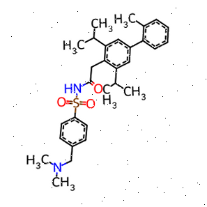 Cc1ccccc1-c1cc(C(C)C)c(CC(=O)NS(=O)(=O)c2ccc(CN(C)C)cc2)c(C(C)C)c1